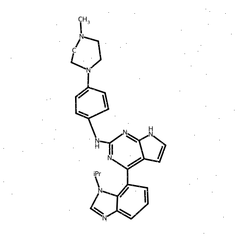 CC(C)n1cnc2cccc(-c3nc(Nc4ccc(N5CCN(C)CC5)cc4)nc4[nH]ccc34)c21